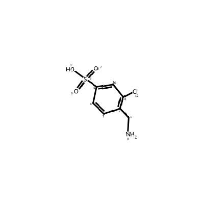 NCc1ccc(S(=O)(=O)O)cc1Cl